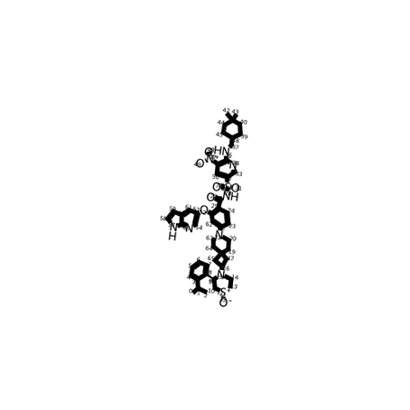 CC(C)c1ccccc1[C@@H]1C[S+]([O-])CCN1C1CC2(CCN(c3ccc(C(=O)NS(=O)(=O)c4cnc(NCC5CCC(C)(C)CC5)c([N+](=O)[O-])c4)c(Oc4cnc5[nH]ccc5c4)c3)CC2)C1